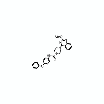 COc1nc(N2CCN(C(=O)Nc3ccc(Oc4ccccc4)cc3)CC2)c2ccccc2n1